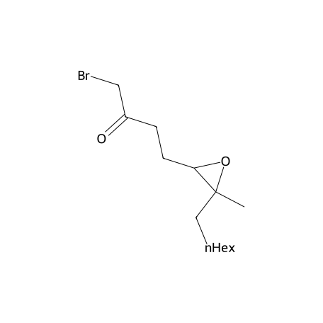 CCCCCCCC1(C)OC1CCC(=O)CBr